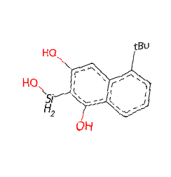 CC(C)(C)c1cccc2c(O)c([SiH2]O)c(O)cc12